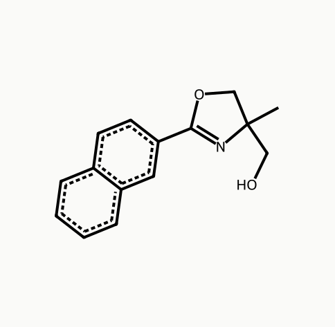 CC1(CO)COC(c2ccc3ccccc3c2)=N1